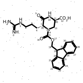 N=C(N)NCCC[C@@H]1C(=O)N[C@@H](C(=O)O)CN1C(=O)OCC1c2ccccc2-c2ccccc21